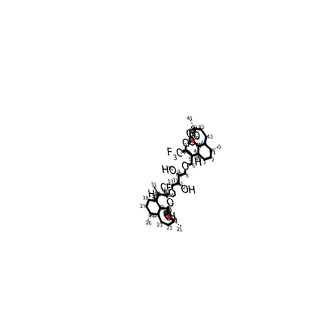 C[C@@H]1CC[C@H]2C(COC[C@H](O)[C@@H](O)CO[C@@]3(C(F)(F)F)O[C@@H]4O[C@]5(C)CCC6[C@H](C)CC[C@@H]([C@H]3C)[C@]64OO5)=C(C(F)(F)F)O[C@@H]3O[C@]4(C)CCC1[C@]32OO4